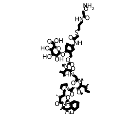 CC[C@H](C)C([C@@H](CC(=O)N1CCC[C@H]1[C@H](OC)[C@@H](C)C(=O)N[C@H](C)[C@@H](O)c1ccccc1)OC)N(C)C(=O)CNC(=O)C(C(C)C)N(C)C(=O)OCc1cc(NC(=O)CSCCCNC(=O)CON)ccc1OC1OC(C(=O)O)C(O)C(O)C1O